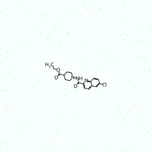 CCOC(=O)C1CCN(NC(=O)c2ccc3cc(Cl)ccc3n2)CC1